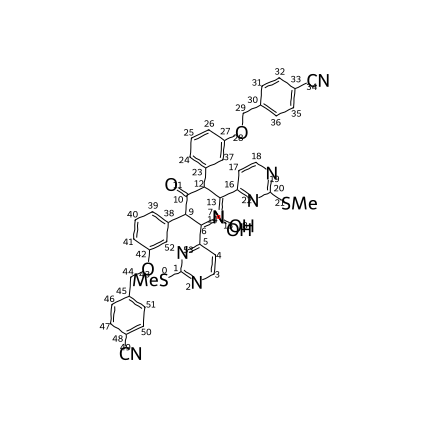 CSc1nccc(C(=NO)C(C(=O)C(C(=NO)c2ccnc(SC)n2)c2cccc(OCc3ccc(C#N)cc3)c2)c2cccc(OCc3ccc(C#N)cc3)c2)n1